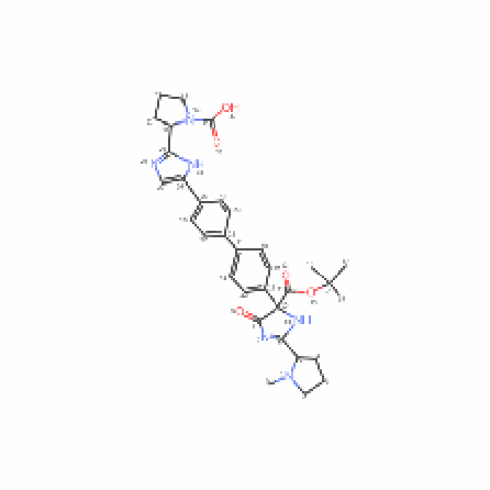 CN1CCCC1C1=NC(=O)C(C(=O)OC(C)(C)C)(c2ccc(-c3ccc(-c4cnc(C5CCCN5C(=O)O)[nH]4)cc3)cc2)N1